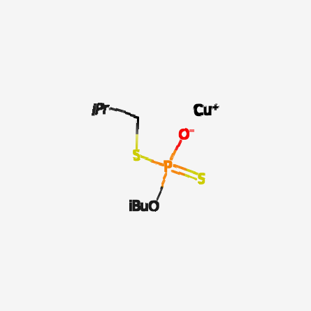 CC(C)COP([O-])(=S)SCC(C)C.[Cu+]